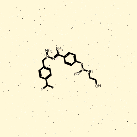 N/C(=N\N(N)Cc1ccc(C(F)F)cc1)c1ccc(SN(O)NCCO)cc1